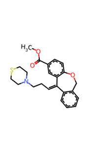 COC(=O)c1ccc2c(c1)/C(=C\CCN1CCSCC1)c1ccccc1CO2